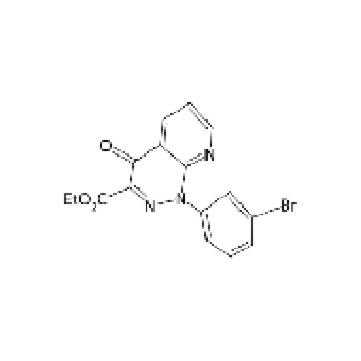 CCOC(=O)c1nn(-c2cccc(Br)c2)c2ncccc2c1=O